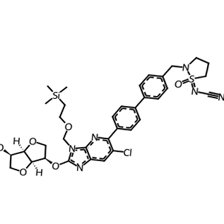 C[Si](C)(C)CCOCn1c(O[C@@H]2CO[C@H]3[C@@H]2OC[C@H]3O)nc2cc(Cl)c(-c3ccc(-c4ccc(CN5CCCS5(=O)=NC#N)cc4)cc3)nc21